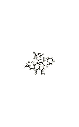 CN(C(=O)C(CC1CC1)NC(=O)C(F)(F)F)C(CC1CC1)C(=O)N1C[C@]2(Cc3ccccc3NC2=O)C[C@H]1C#N